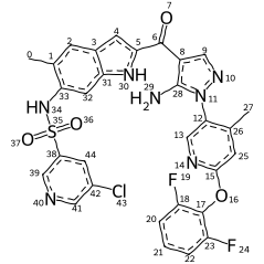 Cc1cc2cc(C(=O)c3cnn(-c4cnc(Oc5c(F)cccc5F)cc4C)c3N)[nH]c2cc1NS(=O)(=O)c1cncc(Cl)c1